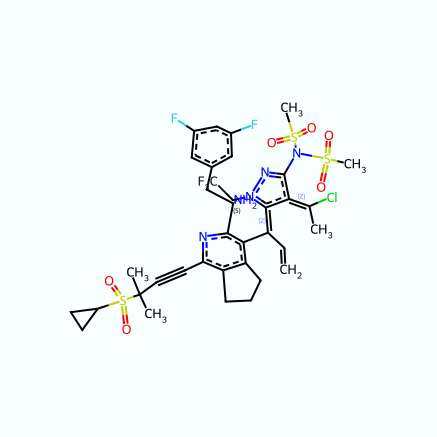 C=C/C(c1c([C@@H](N)Cc2cc(F)cc(F)c2)nc(C#CC(C)(C)S(=O)(=O)C2CC2)c2c1CCC2)=c1\c(=C(/C)Cl)c(N(S(C)(=O)=O)S(C)(=O)=O)nn1CC(F)(F)F